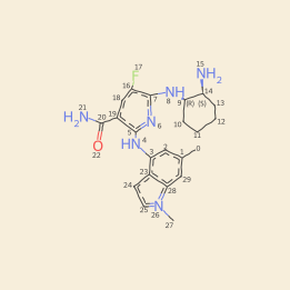 Cc1cc(Nc2nc(N[C@@H]3CCCC[C@@H]3N)c(F)cc2C(N)=O)c2ccn(C)c2c1